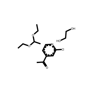 CC(=O)c1ccnc(Cl)c1.CCOC(C)OCC.OCCO